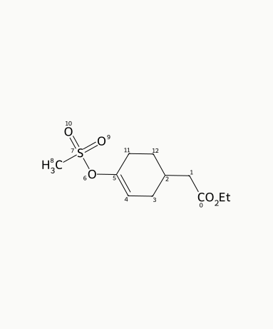 CCOC(=O)CC1CC=C(OS(C)(=O)=O)CC1